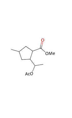 COC(=O)C1CC(C)CC1C(C)OC(C)=O